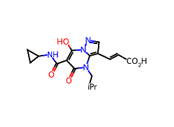 CC(C)Cn1c(=O)c(C(=O)NC2CC2)c(O)n2ncc(/C=C/C(=O)O)c12